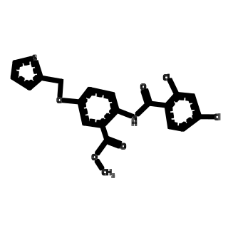 COC(=O)c1cc(OCc2cccs2)ccc1NC(=O)c1ccc(Cl)cc1Cl